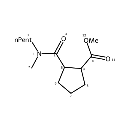 CCCCCN(C)C(=O)C1CCCC1C(=O)OC